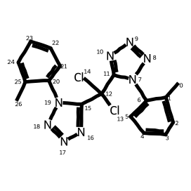 Cc1ccccc1-n1nnnc1C(Cl)(Cl)c1nnnn1-c1ccccc1C